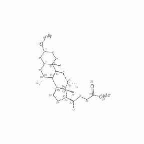 CCCOC1CC[C@@]2(C)C(C1)C[C@@H](C)C1C2C[C@H](C)[C@@]2(C)C1CC[C@@H]2C(C)CCC(=O)OC